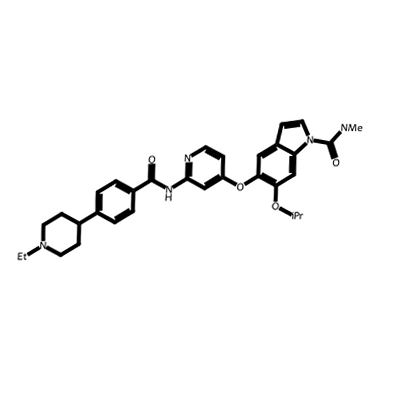 CCN1CCC(c2ccc(C(=O)Nc3cc(Oc4cc5ccn(C(=O)NC)c5cc4OC(C)C)ccn3)cc2)CC1